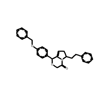 O=C1COC(c2ccc(OCc3ccccc3)cc2)C2=CCC(CCc3ccccc3)N12